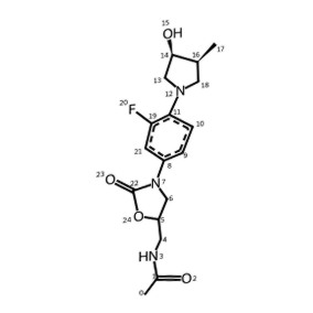 CC(=O)NCC1CN(c2ccc(N3C[C@@H](O)[C@@H](C)C3)c(F)c2)C(=O)O1